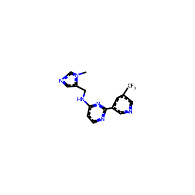 Cn1cncc1CNc1ccnc(-c2cncc(C(F)(F)F)c2)n1